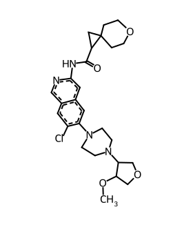 COC1COCC1N1CCN(c2cc3cc(NC(=O)C4CC45CCOCC5)ncc3cc2Cl)CC1